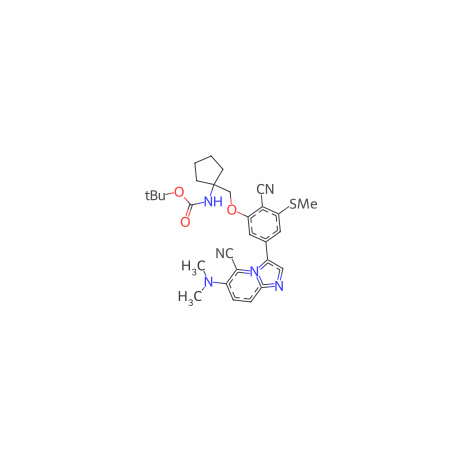 CSc1cc(-c2cnc3ccc(N(C)C)c(C#N)n23)cc(OCC2(NC(=O)OC(C)(C)C)CCCC2)c1C#N